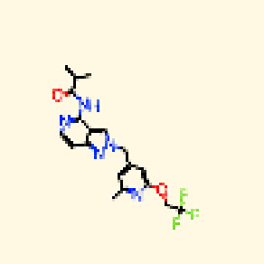 Cc1cc(Cn2cc3c(NC(=O)C(C)C)nccc3n2)cc(OCC(F)(F)F)n1